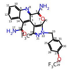 Cc1c(-c2c(C(N)=O)nc3ccccc3c2C(N)=O)c(C(F)(F)F)nn1Cc1ccc(OC(F)(F)F)cc1